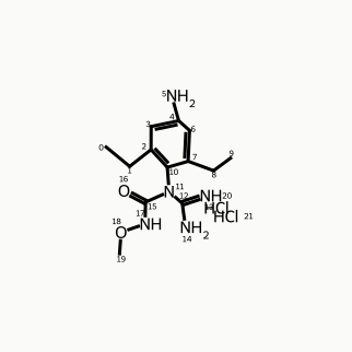 CCc1cc(N)cc(CC)c1N(C(=N)N)C(=O)NOC.Cl.Cl